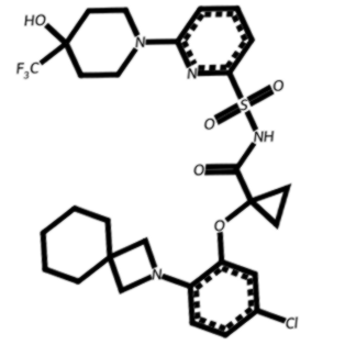 O=C(NS(=O)(=O)c1cccc(N2CCC(O)(C(F)(F)F)CC2)n1)C1(Oc2cc(Cl)ccc2N2CC3(CCCCC3)C2)CC1